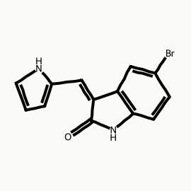 O=C1Nc2ccc(Br)cc2C1=Cc1ccc[nH]1